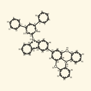 c1ccc(-c2cc(-c3ccccc3)nc(-n3c4ccccc4c4cc(-c5cc6c7c(c5)Oc5ccccc5N7c5ccccc5O6)ccc43)n2)cc1